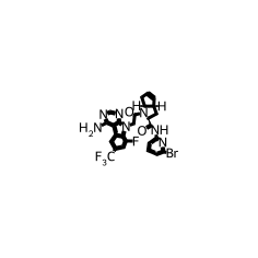 Nc1ncnc2c1c1cc(C(F)(F)F)cc(F)c1n2CC(=O)N1[C@@H]2CC#C[C@@H]2C[C@H]1C(=O)Nc1cccc(Br)n1